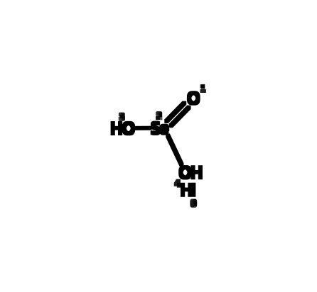 I.O=[Se](O)O